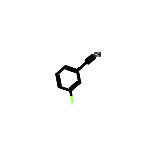 C#Cc1[c]c(F)ccc1